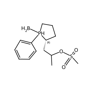 B[PH]1(c2ccccc2)CCC[C@@H]1CC(C)OS(C)(=O)=O